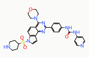 O=C(Nc1ccncc1)Nc1ccc(-c2nc(N3CCOCC3)c3ccc4c(ccn4S(=O)(=O)C4CCNCC4)c3n2)cc1